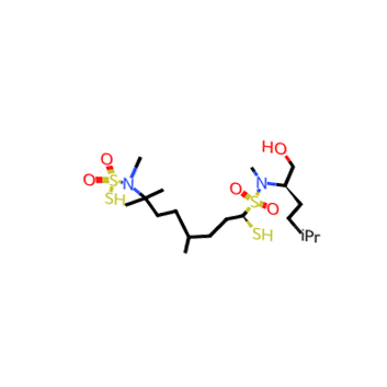 CC(C)CC[C@H](CO)N(C)S(=O)(=O)[C@@H](S)CCC(C)CCC(C)(C)N(C)S(=O)(=O)S